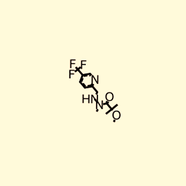 COC(C)(C)C(=O)N(C)NCc1ccc(C(F)(F)F)cn1